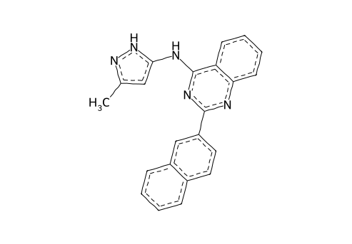 Cc1cc(Nc2nc(-c3ccc4ccccc4c3)nc3ccccc23)[nH]n1